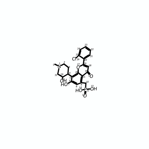 CN1CCC(c2c(O)cc(CP(=O)(O)O)c3c(=O)cc(-c4ccccc4Cl)oc23)C(O)C1